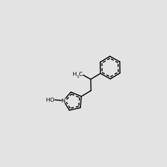 CC(Cc1ccn(O)c1)c1ccccc1